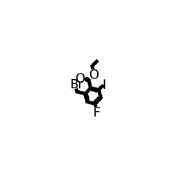 CCOC(=O)c1c(I)cc(F)cc1CBr